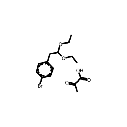 CC(=O)C(=O)O.CCOC(Cc1ccc(Br)cc1)OCC